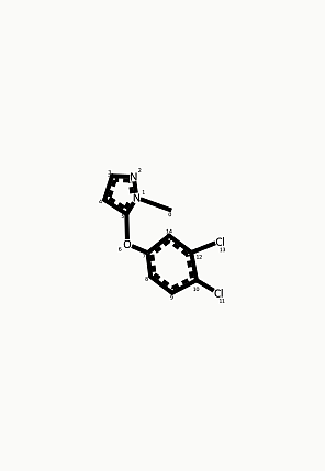 Cn1n[c]cc1Oc1ccc(Cl)c(Cl)c1